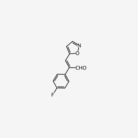 O=C/C(=C\c1ccno1)c1ccc(F)cc1